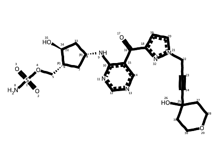 NS(=O)(=O)OC[C@H]1C[C@@H](Nc2ncncc2C(=O)c2ccn(CC#CC3(O)CCOCC3)n2)C[C@@H]1O